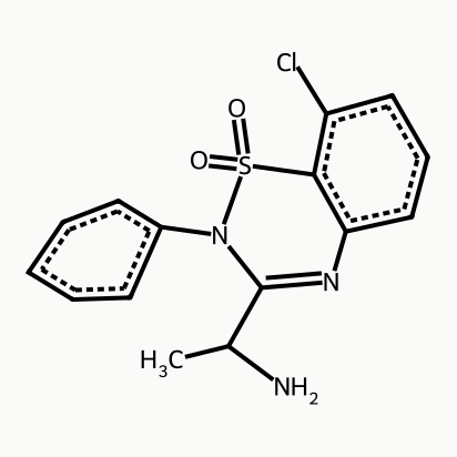 CC(N)C1=Nc2cccc(Cl)c2S(=O)(=O)N1c1ccccc1